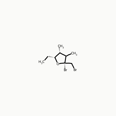 CC[C@H]1O[C@](Br)(CBr)C(C)[C@H]1C